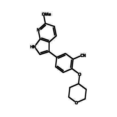 COc1ccc2c(-c3ccc(OC4CCOCC4)c(C#N)c3)c[nH]c2n1